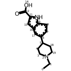 CCN1CCC(c2ccc3[nH]c(C(=O)O)cc3c2)CC1